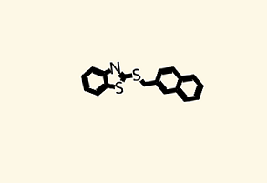 c1ccc2cc(CSc3nc4ccccc4s3)ccc2c1